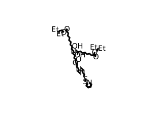 CCC(CC)COC(=O)CCCCCCC(O)CN(CCCC(=O)OCCN1CCN(CCSSc2ccccn2)CC1)CC(O)CCCCCCC(=O)OCC(CC)CC